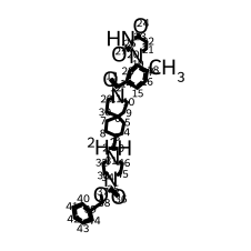 [2H]C([2H])(C1CCC2(CC1)CCN(C(=O)c1ccc(C)c(N3CCC(=O)NC3=O)c1)CC2)N1CCN(C(=O)OCc2ccccc2)CC1